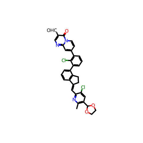 Cc1nc(/C=C2\CCc3c2cccc3-c2cccc(-c3ccn4c(=O)c(C=O)cnc4c3)c2Cl)c(Cl)cc1C1OCCO1